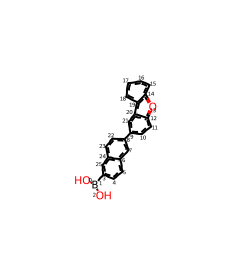 OB(O)c1ccc2cc(-c3ccc4oc5ccccc5c4c3)ccc2c1